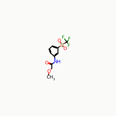 COCC(=O)Nc1cccc(S(=O)(=O)C(F)(F)F)c1